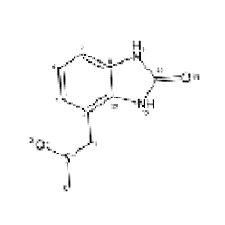 C[S+]([O-])Cc1cccc2[nH]c(=O)[nH]c12